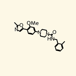 COc1cc(N2CCN(C(=O)NCc3ccccc3C)CC2)ccc1-c1cnc(C)o1